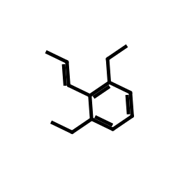 C/C=[C]/c1c(CC)cccc1CC